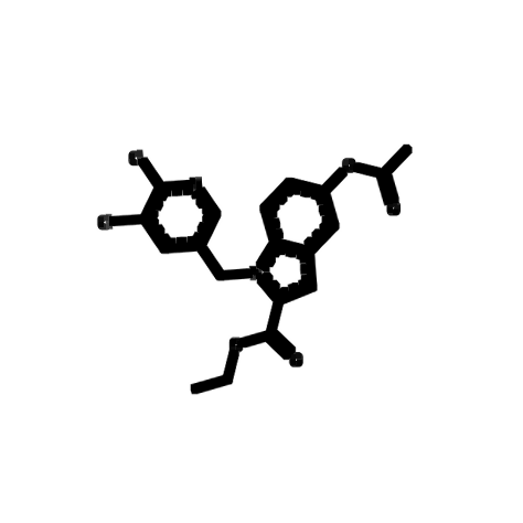 CCOC(=O)c1cc2cc(OC(C)=O)ccc2n1Cc1cnc(Cl)c(Cl)c1